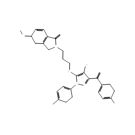 COC1C=CC2=C(C1)CN(CCCNc1c(N)c(C(=O)C3=CC=C(C)CC3)nn1C1=CC=C(Cl)CC1)C2=O